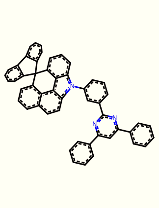 c1ccc(-c2cc(-c3ccccc3)nc(-c3cccc(-n4c5cccc6c5c5c7c(cccc7ccc54)C64c5ccccc5-c5ccccc54)c3)n2)cc1